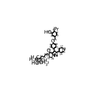 CC(C)c1ccc(COc2ccc(-c3c(-c4ccncc4)nn4c3C(=O)N(CCCC(C)(C)[Si](C)(C)O)CC4)cc2)cc1O